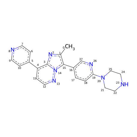 Cc1nc2c(-c3ccncc3)ccnn2c1-c1ccc(N2CCNCC2)nc1